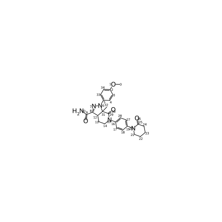 COc1ccc(N2N=C(C(N)=O)C3CCN(c4ccc(N5CCCCC5=O)cc4)C(=O)C32C)cc1